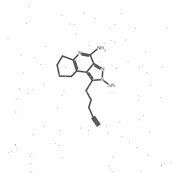 C#CCCCc1c2c3c(nc(N)c2nn1CCC)CCCC3